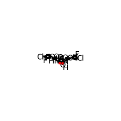 CO[C@@H]1C[C@]2(NC(=O)COc3ccc(Cl)c(F)c3)CC[C@@]1(NC(=O)COc1ccc(Cl)c(F)c1)CC2=O